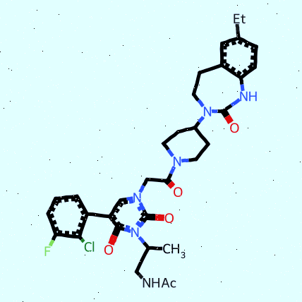 CCc1ccc2c(c1)CCN(C1CCN(C(=O)Cn3cc(-c4cccc(F)c4Cl)c(=O)n(C(C)CNC(C)=O)c3=O)CC1)C(=O)N2